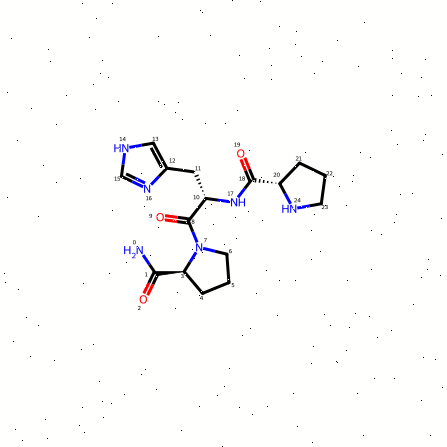 NC(=O)[C@@H]1CCCN1C(=O)[C@H](Cc1c[nH]cn1)NC(=O)[C@@H]1CCCN1